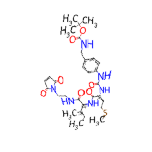 CC[C@H](C)[C@H](NC(=O)[C@H](CCSC)NC(=O)Nc1ccc(CNC(=O)OC(C)(C)C)cc1)C(=O)NCCN1C(=O)C=CC1=O